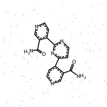 NC(=O)c1cnccc1-c1ccnc(-c2ccncc2C(N)=O)n1